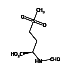 CS(=O)(=O)CC[C@@H](NC=O)C(=O)O